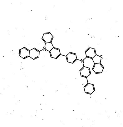 c1ccc(-c2ccc(N(c3ccc(-c4ccc5c(c4)c4ccccc4n5-c4ccc5ccccc5c4)cc3)c3cccc4sc5ccccc5c34)cc2)cc1